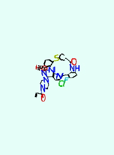 C=CC(=O)N1CCN(C2=NC(O)N3c4nc(c(Cl)cc42)-c2c(F)cccc2NC(=O)CCSc2cccc(C(C)C)c23)CC1